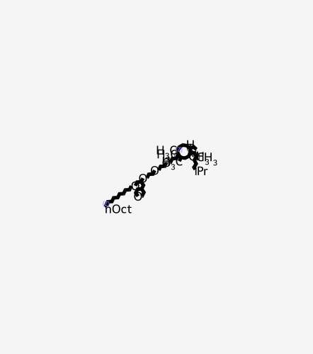 CCCCCCCC/C=C\CCCCCCCCOCC(CC1CCOCC1)OCCCOCCCOCCC[C@@]1(C)/C(C)=C\CC[C@@H]2CC[C@H]([C@H](C)CCCC(C)C)[C@@]2(C)CCC1C